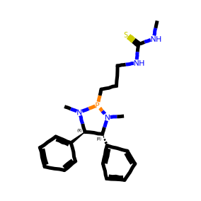 CNC(=S)NCCCP1N(C)[C@H](c2ccccc2)[C@@H](c2ccccc2)N1C